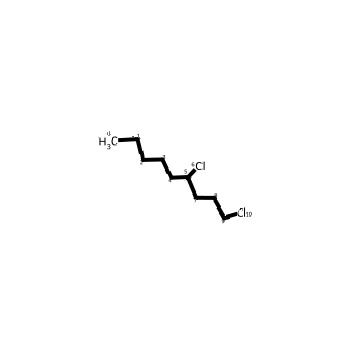 CCCCCC(Cl)CCCCl